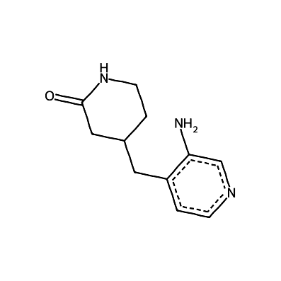 Nc1cnccc1CC1CCNC(=O)C1